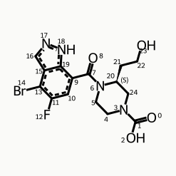 O=C(O)N1CCN(C(=O)c2cc(F)c(Br)c3cn[nH]c23)[C@@H](CCO)C1